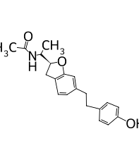 CC(=O)NC(C)[C@@H]1Cc2ccc(CCc3ccc(O)cc3)cc2O1